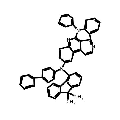 CC1(C)c2ccccc2-c2c(N(c3ccc(-c4ccccc4)cc3)c3ccc4nc5c6c(nccc6c4c3)-c3ccccc3N5c3ccccc3)cccc21